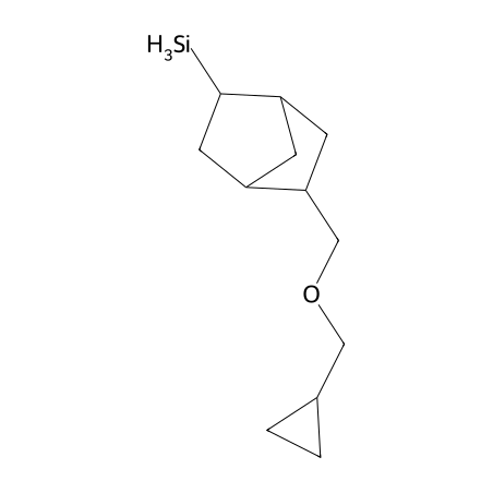 [SiH3]C1CC2CC1CC2COCC1CC1